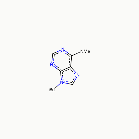 CCC(C)n1cnc2c(NC)ncnc21